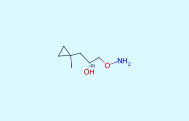 NOC[C@H](O)CC1(I)CC1